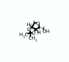 CC1(C)O[C@H]2[C@@H](CO)OC[C@H]2O1